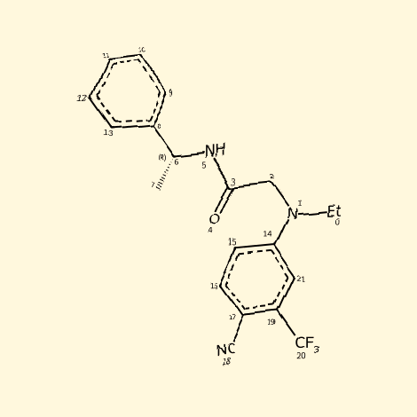 CCN(CC(=O)N[C@H](C)c1ccccc1)c1ccc(C#N)c(C(F)(F)F)c1